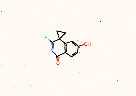 O=C1N=C(F)C2(CC2)c2cc(O)ccc21